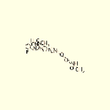 C=CC(=O)NCCOCCOCCN1CCN(c2ccc([C@H]3CN(Cc4c(C)cccc4F)C[C@@H]3N(C)C)cc2)CC1